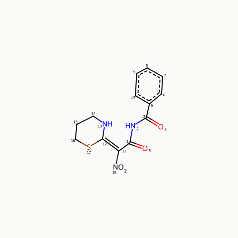 O=C(NC(=O)c1ccccc1)C(=C1NCCCS1)[N+](=O)[O-]